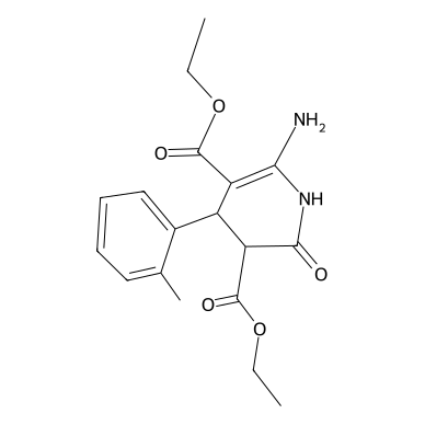 CCOC(=O)C1=C(N)NC(=O)C(C(=O)OCC)C1c1ccccc1C